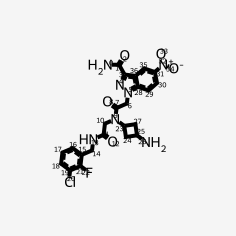 NC(=O)c1nn(CC(=O)N(CC(=O)NCc2cccc(Cl)c2F)C2CC(N)C2)c2ccc([N+](=O)[O-])cc12